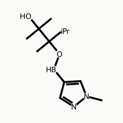 CC(C)C(C)(OBc1cnn(C)c1)C(C)(C)O